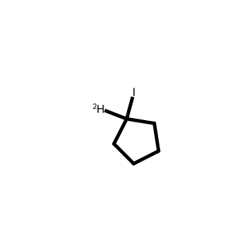 [2H]C1(I)CCCC1